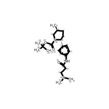 C[C@H]1CC[C@H](c2ccc(NC(=O)CCN(C)C)cc2)N(C(=O)OC(C)(C)C)C1